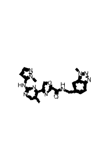 Cc1cnc(Nc2ccnn2C)nc1-c1coc(C(=O)NCc2ccc3nnn(C)c3c2)n1